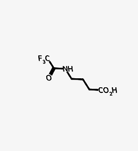 O=C(O)CCCNC(=O)C(F)(F)F